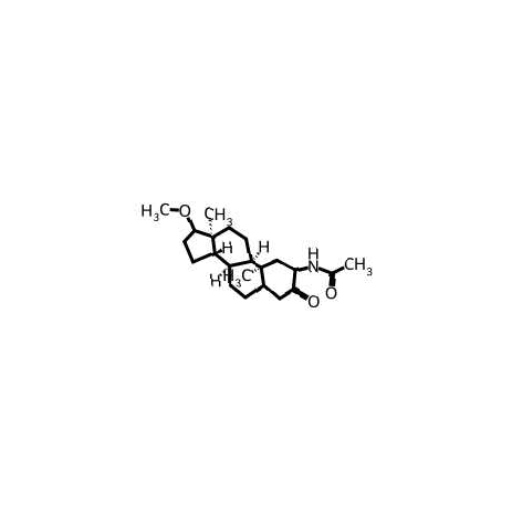 COC1CC[C@H]2[C@@H]3CCC4CC(=O)C(NC(C)=O)C[C@]4(C)[C@@H]3CC[C@]12C